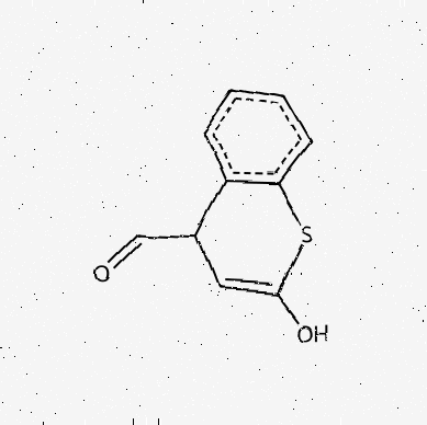 O=CC1C=C(O)Sc2ccccc21